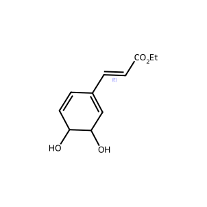 CCOC(=O)/C=C/C1=CC(O)C(O)C=C1